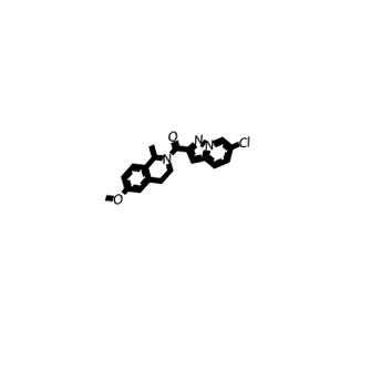 COc1ccc2c(c1)CCN(C(=O)c1cc3ccc(Cl)cn3n1)C2C